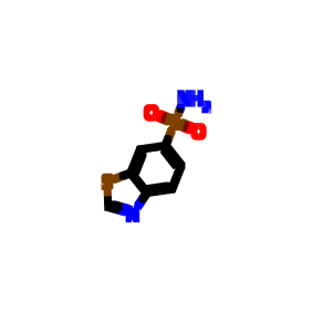 NS(=O)(=O)c1ccc2ncsc2c1